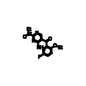 CCOc1ccc(F)cc1C(=O)c1cnc([S+]([O-])CC)nc1N